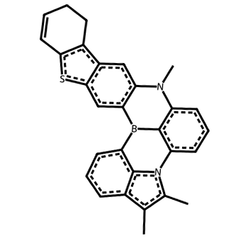 Cc1c(C)n2c3c(cccc13)B1c3cc4sc5c(c4cc3N(C)c3cccc-2c31)CCC=C5